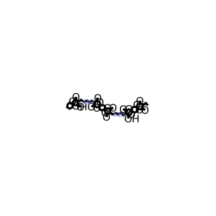 CC=C1C(=O)OC2(CCC3(CC2)OC(=O)C(/C=C/C=C/C=C2C(=O)OC4(CCC5(CC4)OC(=O)C(/C=C/C=C/C=C4C(=O)OC6(CCCCC6)OC4=O)=C(O)O5)OC2=O)=C(O)O3)OC1=O